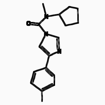 Cc1ccc(-c2cn(C(=O)N(C)C3CCCC3)cn2)cc1